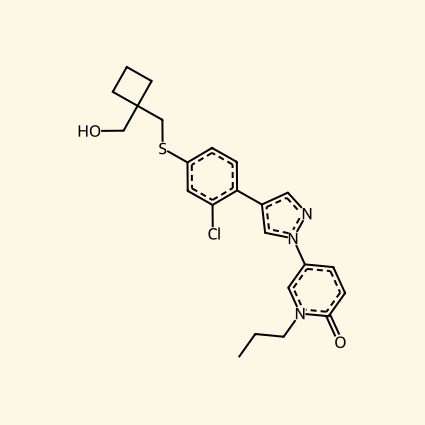 CCCn1cc(-n2cc(-c3ccc(SCC4(CO)CCC4)cc3Cl)cn2)ccc1=O